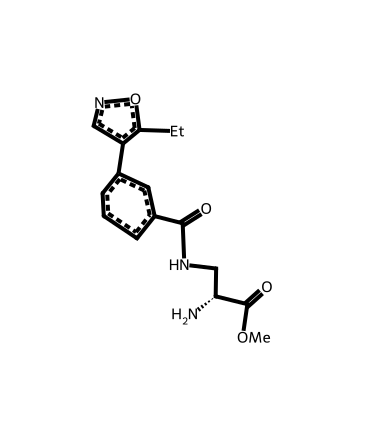 CCc1oncc1-c1cccc(C(=O)NC[C@@H](N)C(=O)OC)c1